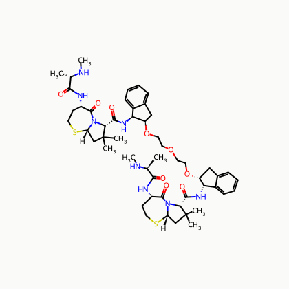 CN[C@@H](C)C(=O)N[C@H]1CCS[C@H]2CC(C)(C)[C@@H](C(=O)N[C@H]3c4ccccc4C[C@H]3OCCOCCO[C@@H]3Cc4ccccc4[C@@H]3NC(=O)[C@H]3N4C(=O)[C@@H](NC(=O)[C@H](C)NC)CCS[C@H]4CC3(C)C)N2C1=O